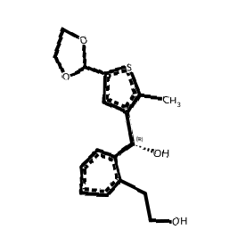 Cc1sc(C2OCCO2)cc1[C@H](O)c1ccccc1CCO